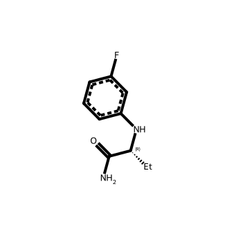 CC[C@@H](Nc1cccc(F)c1)C(N)=O